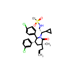 C=CC[C@@]1(C)C[C@H](c2cccc(Cl)c2)C(c2ccc(Cl)cc2)N([C@H](CNS(=O)(=O)CC)C2CC2)C1=O